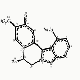 COc1cccc2nn3c(c12)-c1cc(=O)c(C(=O)O)cn1[C@H](C(C)(C)C)C3